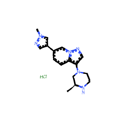 C[C@H]1CN(c2cnn3cc(-c4cnn(C)c4)ccc23)CCN1.Cl